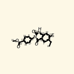 CCc1cc2c(=O)n(-c3ccc(C(=O)OC)cc3)c(=O)[nH]c2cc1F